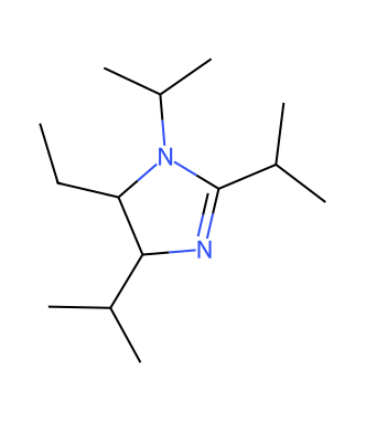 CCC1C(C(C)C)N=C(C(C)C)N1C(C)C